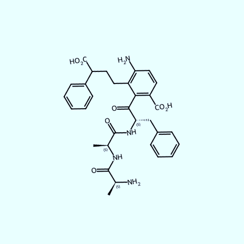 C[C@H](N)C(=O)N[C@@H](C)C(=O)N[C@@H](Cc1ccccc1)C(=O)c1c(C(=O)O)ccc(N)c1CCC(C(=O)O)c1ccccc1